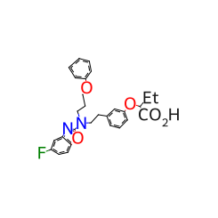 CCC(Oc1cccc(CCN(CCCOc2ccccc2)c2nc3cc(F)ccc3o2)c1)C(=O)O